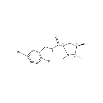 C[C@@H]1C[C@@H](C(=O)NCc2cc(Br)ncc2F)N(C)[C@H]1C